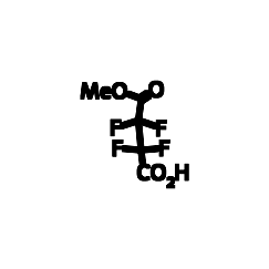 COC(=O)C(F)(F)C(F)(F)C(=O)O